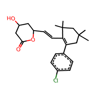 CC1(C)CC(c2ccc(Cl)cc2)=C(C=CC2CC(O)CC(=O)O2)C(C)(C)C1